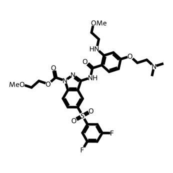 COCCNc1cc(OCCN(C)C)ccc1C(=O)Nc1nn(C(=O)OCCOC)c2ccc(S(=O)(=O)c3cc(F)cc(F)c3)cc12